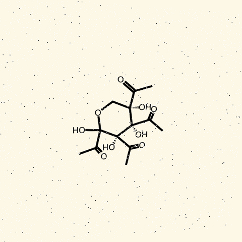 CC(=O)C1(O)OC[C@@](O)(C(C)=O)[C@@](O)(C(C)=O)[C@@]1(O)C(C)=O